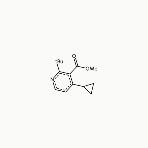 COC(=O)c1c(C2CC2)ccnc1C(C)(C)C